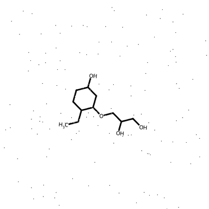 CCC1CCC(O)CC1OCC(O)CO